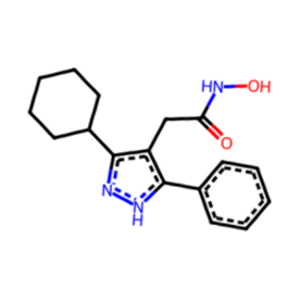 O=C(Cc1c(C2CCCCC2)n[nH]c1-c1ccccc1)NO